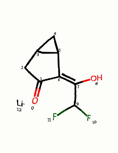 O=C1CC2CC2C1=C(O)C(F)F.[Li]